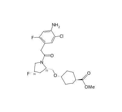 COC(=O)[C@H]1CC[C@H](OC[C@@H]2C[C@H](F)CN2C(=O)Cc2cc(Cl)c(N)cc2F)CC1